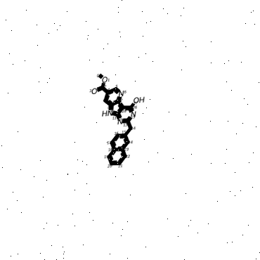 COC(=O)c1cnc2c(c1)[nH]c1nc(Cc3ccc4ccccc4c3)nc(O)c12